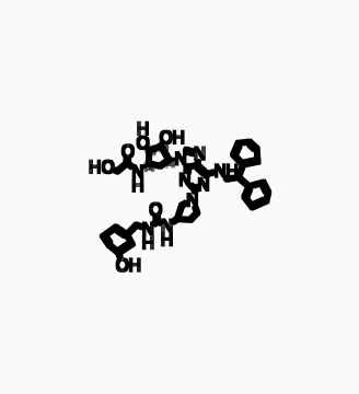 O=C(CO)N[C@H]1C[C@@H](n2cnc3c(NCC(c4ccccc4)c4ccccc4)nc(N4CCC(NC(=O)NCc5cccc(O)c5)C4)nc32)[C@H](O)[C@@H]1O